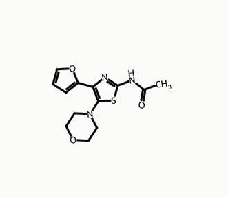 CC(=O)Nc1nc(-c2ccco2)c(N2CCOCC2)s1